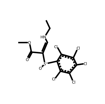 CCNC=C(C(=O)OC)[S+]([O-])c1c(Cl)c(Cl)c(Cl)c(Cl)c1Cl